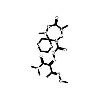 CON=C(C)C(=NOC(=O)N1SN(C)C(=O)ON(C)C12CSCCS2)C(=O)N(C)C